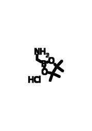 CC1(C)OB(CN)OC1(C)C.Cl